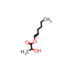 CCCC/C=C/OC(=O)C(C)O